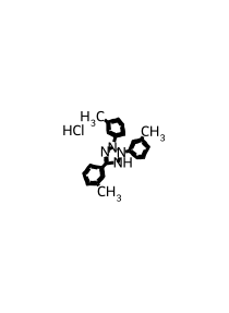 Cc1cccc(C2=NN(c3cccc(C)c3)N(c3cccc(C)c3)N2)c1.Cl